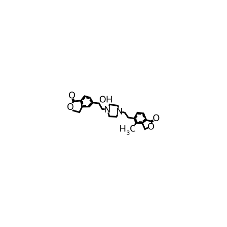 Cc1c(CCN2CCN(CC(O)c3ccc4c(c3)CCOC4=O)CC2)ccc2c1COC2=O